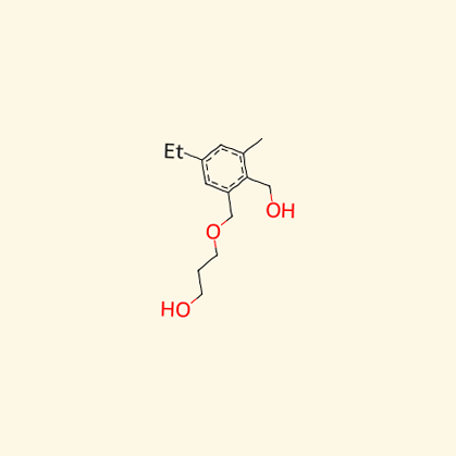 CCc1cc(C)c(CO)c(COCCCO)c1